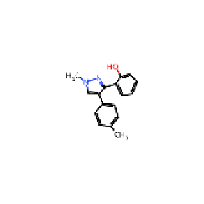 Cc1ccc(-c2cn(C)nc2-c2ccccc2O)cc1